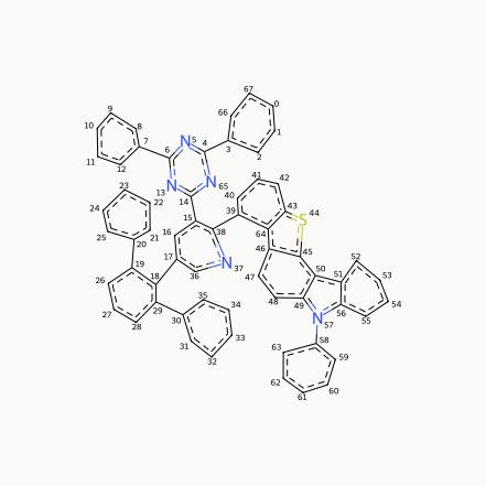 c1ccc(-c2nc(-c3ccccc3)nc(-c3cc(-c4c(-c5ccccc5)cccc4-c4ccccc4)cnc3-c3cccc4sc5c(ccc6c5c5ccccc5n6-c5ccccc5)c34)n2)cc1